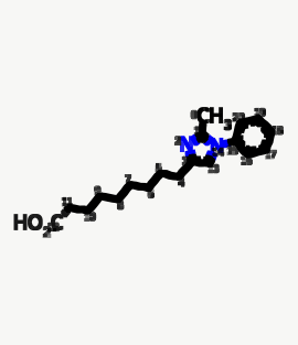 Cc1nc(CCCCCCCCC(=O)O)cn1-c1ccccc1